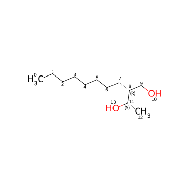 CCCCCCCC[C@H](CO)[C@H](C)O